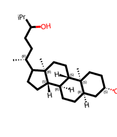 CC(C)C(O)CC[C@@H](C)C1CC[C@H]2[C@@H]3CC[C@@H]4C[C@@H](O)CC[C@]4(C)[C@H]3CC[C@]12C